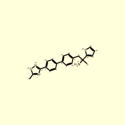 Cc1nc(-c2ccc(-c3ccc(CC(C)(N)c4cccs4)cc3)cc2)no1